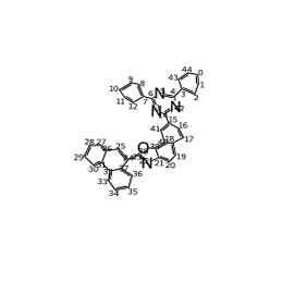 c1ccc(-c2nc(-c3ccccc3)nc(-c3ccc4ccc5nc(-c6cc7ccccc7c7ccccc67)oc5c4c3)n2)cc1